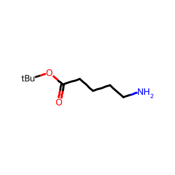 CC(C)(C)OC(=O)CCCCN